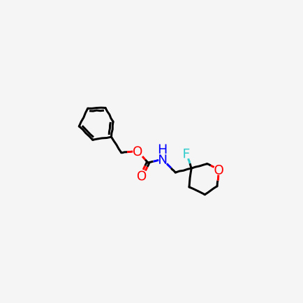 O=C(NCC1(F)CCCOC1)OCc1ccccc1